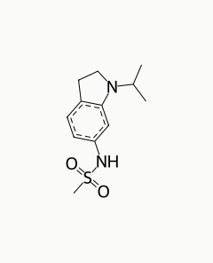 CC(C)N1CCc2ccc(NS(C)(=O)=O)cc21